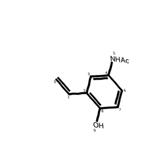 C=Cc1cc(NC(C)=O)ccc1O